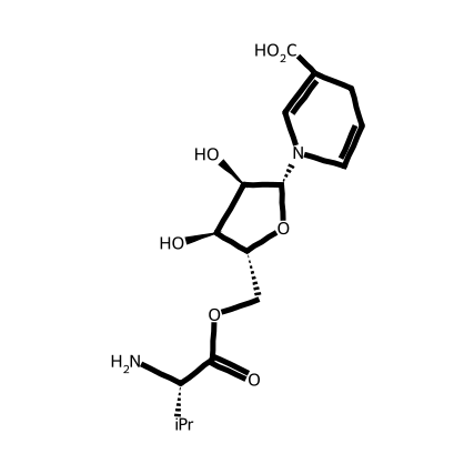 CC(C)[C@H](N)C(=O)OC[C@H]1O[C@@H](N2C=CCC(C(=O)O)=C2)[C@H](O)[C@@H]1O